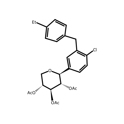 CCc1ccc(Cc2cc([C@@H]3OC[C@@H](OC(C)=O)[C@H](OC(C)=O)[C@H]3OC(C)=O)ccc2Cl)cc1